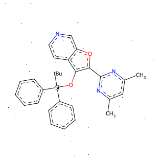 Cc1cc(C)nc(-c2oc3cnccc3c2O[Si](c2ccccc2)(c2ccccc2)C(C)(C)C)n1